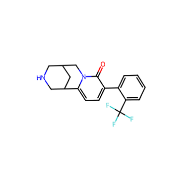 O=c1c(-c2ccccc2C(F)(F)F)ccc2n1CC1CNCC2C1